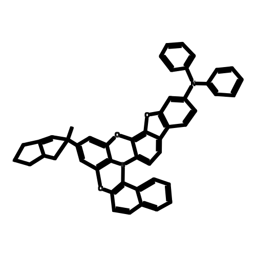 CC1(c2cc3c4c(c2)Oc2c(ccc5c2oc2cc(N(c6ccccc6)c6ccccc6)ccc25)B4c2c(ccc4ccccc24)O3)C=C2CCCC2C1